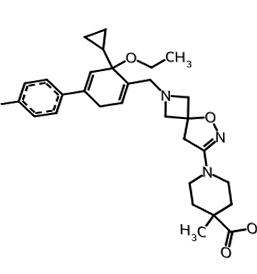 CCOC1(C2CC2)C=C(c2ccc(F)cc2)CC=C1CN1CC2(CC(N3CCC(C)(C(=O)O)CC3)=NO2)C1